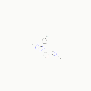 Cn1c(C(F)F)nc2nc([C@H]3CCO[C@@H](c4cnn(C5CC5)c4)C3)nc(-c3ccc(C(F)(F)F)cc3F)c21